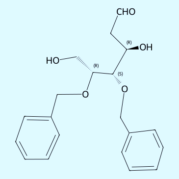 O=CC[C@@H](O)[C@H](OCc1ccccc1)[C@@H](CO)OCc1ccccc1